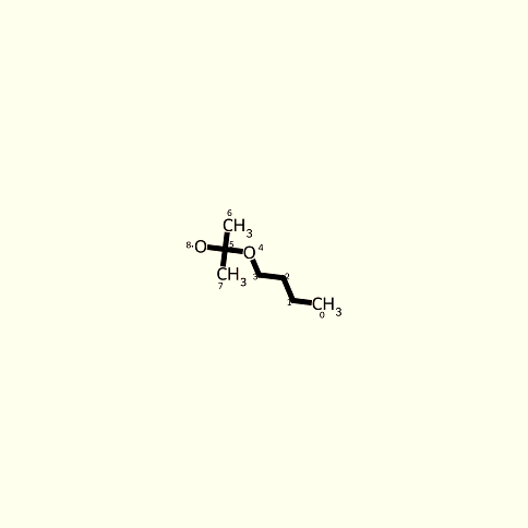 CCCCOC(C)(C)[O]